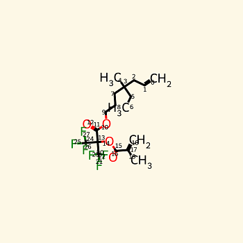 C=CCC(C)(CC)CCCOC(=O)C(OC(=O)C(=C)C)(C(F)(F)F)C(F)(F)F